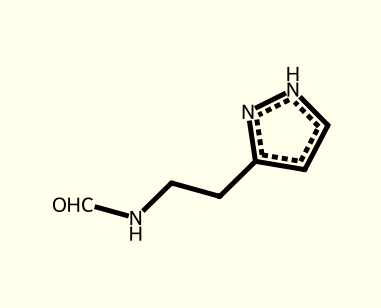 O=CNCCc1cc[nH]n1